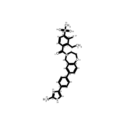 CCc1c(C(=O)N2CCOc3ccc(-c4ccc(-c5csc(N)n5)cc4)cc3C2)ccc(S(C)(=O)=O)c1F